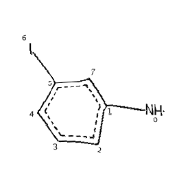 [NH]c1cccc(I)c1